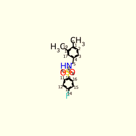 Cc1ccc(CNS(=O)(=O)c2ccc(F)cc2)cc1C